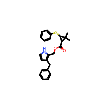 CC1(C)C(Sc2ccccc2)C1C(=O)OCc1[nH]ccc1Cc1ccccc1